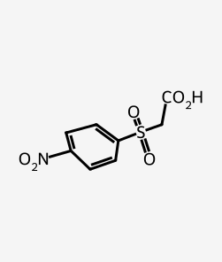 O=C(O)CS(=O)(=O)c1ccc([N+](=O)[O-])cc1